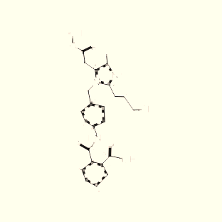 CCCCc1nc(Cl)c(CC(=O)OC)n1Cc1ccc(NC(=O)c2ccccc2C(=O)O)cc1